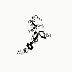 CCOC(=O)c1sc(Nc2nc(NCc3ccc(OC)cc3)cc(N3CCNCC3)n2)nc1C